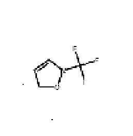 FC(F)(F)N1C=C[C]O1